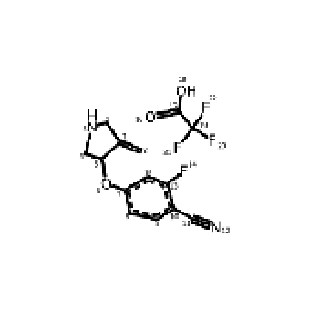 C=C1CNCC1Oc1ccc(C#N)c(F)c1.O=C(O)C(F)(F)F